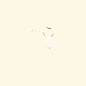 COc1cccc(NC(=O)CF)c1